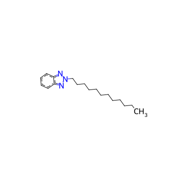 CCCCCCCCCCCCn1nc2ccccc2n1